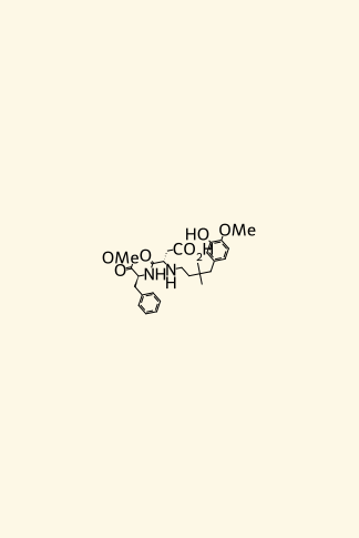 COC(=O)[C@H](Cc1ccccc1)NC(=O)[C@H](CC(=O)O)NCCC(C)(C)Cc1ccc(OC)c(O)c1